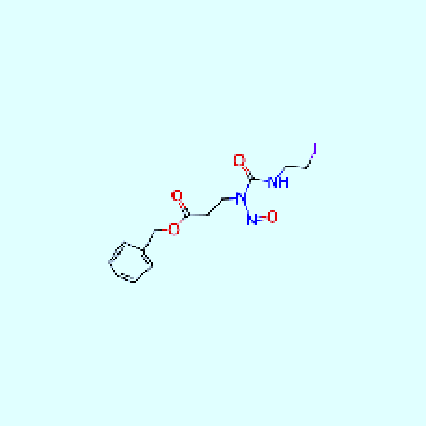 O=NN(CCC(=O)OCc1ccccc1)C(=O)NCCI